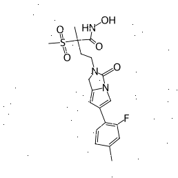 Cc1ccc(-c2cc3n(c2)C(=O)N(CCC(C)(C(=O)NO)S(C)(=O)=O)C3)c(F)c1